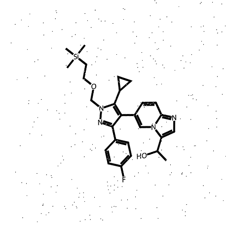 CC(O)c1cnc2ccc(-c3c(-c4ccc(F)cc4)nn(COCC[Si](C)(C)C)c3C3CC3)cn12